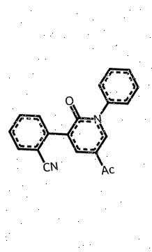 CC(=O)c1cc(-c2ccccc2C#N)c(=O)n(-c2ccccc2)c1